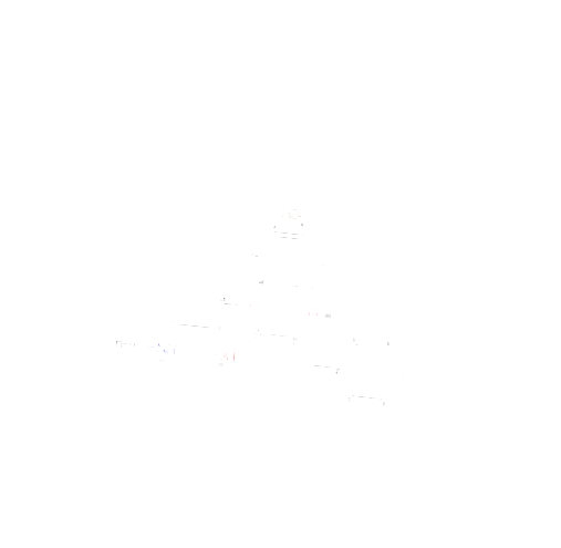 Br.CC(=O)C(=Cc1ccccc1)Oc1ccccc1OCC(O)CNC(C)(C)C